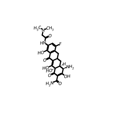 CN(C)CC(=O)Nc1cc(F)c2c(c1O)C(=O)C1=C(O)[C@]3(O)C(=O)C(C(N)=O)=C(O)[C@H](N)[C@@H]3CC1C2